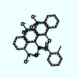 Cc1ccccc1[SiH](OC(c1ccccc1[N+](=O)[O-])c1ccccc1[N+](=O)[O-])OC(c1ccccc1[N+](=O)[O-])c1ccccc1[N+](=O)[O-]